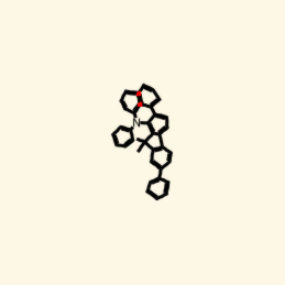 CC1(C)c2cc(-c3ccccc3)ccc2-c2ccc(-c3ccccc3)c(N(c3ccccc3)c3ccccc3)c21